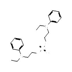 CCN(CCOS(=O)(=O)OCCN(CC)c1ccccc1)c1ccccc1